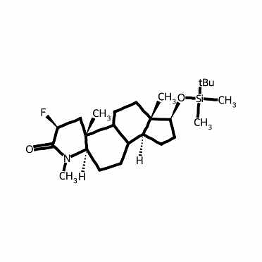 CN1C(=O)[C@@H](F)C[C@]2(C)C3CC[C@]4(C)[C@@H](O[Si](C)(C)C(C)(C)C)CC[C@H]4C3CC[C@@H]12